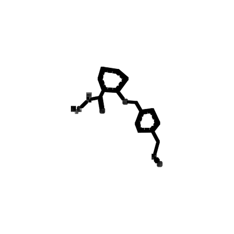 CNC(=O)c1ccccc1OCc1ccc(CN=O)cc1